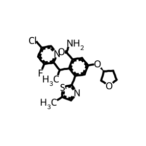 Cc1cnc(-c2cc(O[C@H]3CCOC3)cc(C(N)=O)c2C(C)c2ncc(Cl)cc2F)s1